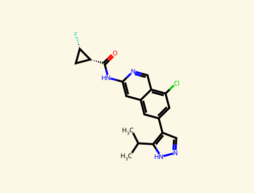 CC(C)c1[nH]ncc1-c1cc(Cl)c2cnc(NC(=O)[C@@H]3C[C@@H]3F)cc2c1